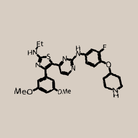 CCNc1nc(-c2cc(OC)cc(OC)c2)c(-c2ccnc(Nc3ccc(OC4CCNCC4)c(F)c3)n2)s1